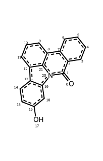 O=c1c2ccccc2c2cccc3c4ccc(O)cc4n1c23